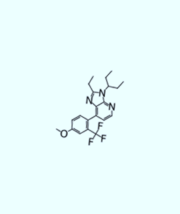 CCc1nc2c(-c3ccc(OC)cc3C(F)(F)F)ccnc2n1C(CC)CC